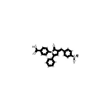 O=C(O)c1ccc(N2C(=O)C(=Cc3ccc([N+](=O)[O-])cc3)C=C2c2ccccc2)cc1